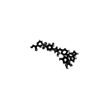 CCC(=O)N1CCCN(S(=O)(=O)c2ccc(N3CC(CN4CCC([C@@](CN5CCC5)(c5cccc(F)c5)[C@H]5CCC[C@@H]5NC(=O)OC)CC4)(OC)C3)c(F)c2)C1